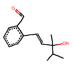 CC(C)C(C)(O)C=Cc1ccccc1C=O